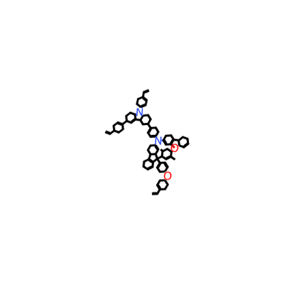 C=CC1=CC=C(N2C3CCC(C4=CCC(C=C)CC4)C=C3C3CC(C4=CC=C(N(C5=CC6=C(CC5)C5CCC=CC5O6)C5=CC6C(CC5)C5=C(C=CCC5)C6(C5=CCC(OC6CC=C(C=C)CC6)C=C5)C5C=C(C)CCC5C)CC4)CCC32)CC1